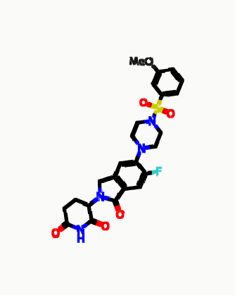 COc1cccc(S(=O)(=O)N2CCN(c3cc4c(cc3F)C(=O)N(C3CCC(=O)NC3=O)C4)CC2)c1